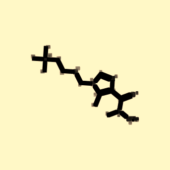 CON(C)C(=O)c1ncn(COCC[Si](C)(C)C)c1C